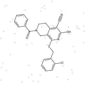 N#Cc1c(O)nc(SCc2ccccc2Cl)c2c1CCN(C(=O)c1ccccc1)C2